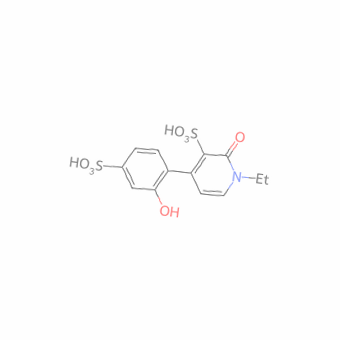 CCn1ccc(-c2ccc(S(=O)(=O)O)cc2O)c(S(=O)(=O)O)c1=O